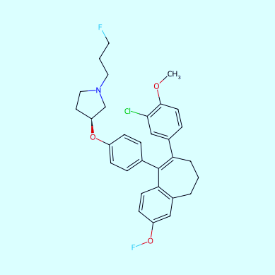 COc1ccc(C2=C(c3ccc(O[C@H]4CCN(CCCF)C4)cc3)c3ccc(OF)cc3CCC2)cc1Cl